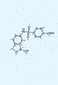 COc1ccc(S(=O)(=O)Nc2ccc3c(c2)B(O)OC3)cn1